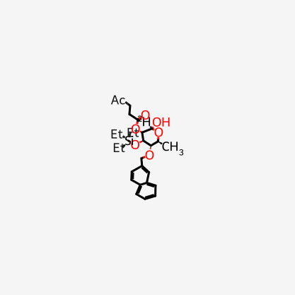 [2H][C@@]1(O)O[C@@H](C)[C@H](OCc2ccc3ccccc3c2)[C@@H](O[Si](CC)(CC)CC)[C@H]1OC(=O)CCC(C)=O